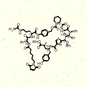 CCCO[C@H](C[C@H](C(C)C)N(CCC)C(=O)[C@@H](NC(=O)[C@H]1CCCCN1C(=O)OCc1ccc(NC(=O)[C@H](CCCNC(N)=O)NC(=O)[C@@H](NC(=O)CCCCCN2C(=O)C=CC2=O)C(C)C)cc1)[C@@H](C)CC)c1nc(C(=O)N[C@@H](Cc2ccc(O)cc2)C[C@H](C)C(=O)OC)cs1